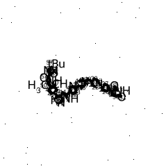 Cc1cc(-c2ncnc3[nH]c(-c4ccc(N5CCN(CC6CCN(c7ccc(-n8ccc(=O)[nH]c8=O)cc7)CC6)CC5)nc4)cc23)ccc1[C@@H](C)NC(=O)c1nc(C(C)(C)C)no1